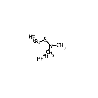 CN(C)SC(C)(C)C.F.F.F